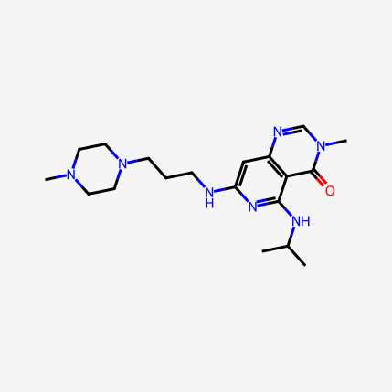 CC(C)Nc1nc(NCCCN2CCN(C)CC2)cc2ncn(C)c(=O)c12